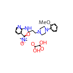 COc1ccccc1N1CCN(CCCNc2ncccc2C(=O)[N+](C)(C)[O-])CC1.O=C(O)C(=O)O